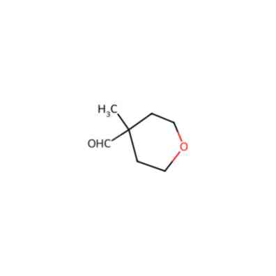 CC1(C=O)CCOCC1